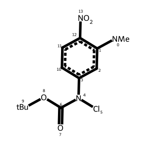 CNc1cc(N(Cl)C(=O)OC(C)(C)C)ccc1[N+](=O)[O-]